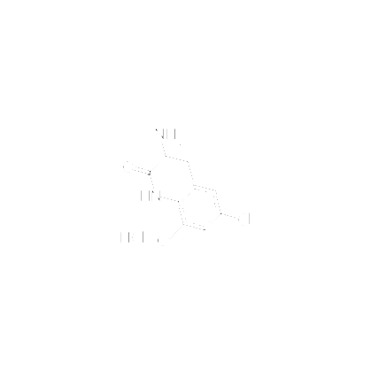 Cl.NC1Cc2cc(Cl)cc(Cl)c2NC1=O